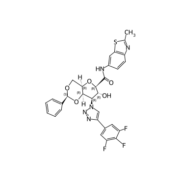 Cc1nc2ccc(NC(=O)[C@@H]3O[C@@H]4CO[C@H](c5ccccc5)O[C@@H]4[C@H](n4cc(-c5cc(F)c(F)c(F)c5)nn4)[C@H]3O)cc2s1